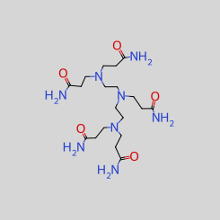 NC(=O)CCN(CCC(N)=O)CCN(CCC(N)=O)CCN(CCC(N)=O)CCC(N)=O